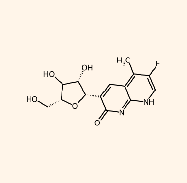 Cc1c(F)c[nH]c2nc(=O)c([C@@H]3O[C@H](CO)C(O)[C@@H]3O)cc1-2